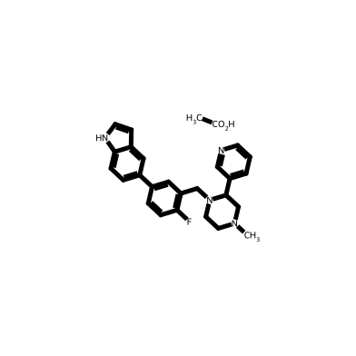 CC(=O)O.CN1CCN(Cc2cc(-c3ccc4[nH]ccc4c3)ccc2F)C(c2cccnc2)C1